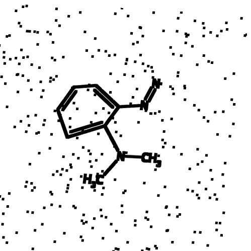 CN(C)c1ccccc1N=[N]